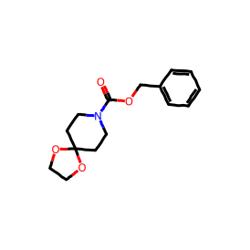 O=C(OCc1ccccc1)N1CCC2(CC1)OCCO2